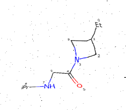 CCC1CN(C(=O)CNC(C)C)C1